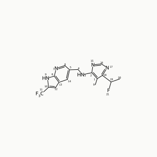 Cc1c(NCc2cnc3[nH]c(C(F)(F)F)cc3c2)ncnc1C(C)F